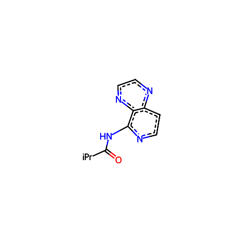 CC(C)C(=O)Nc1nccc2nccnc12